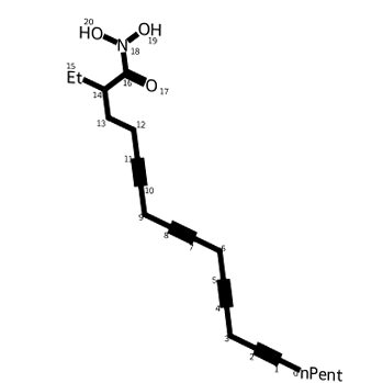 CCCCCC#CCC#CCC#CCC#CCCC(CC)C(=O)N(O)O